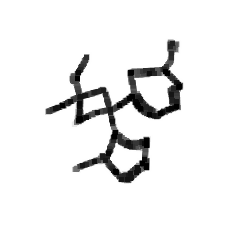 COC1(C)CC(c2cccc(Br)c2)(c2nncn2C)C1